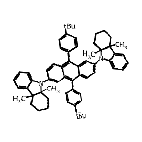 CC(C)(C)c1ccc(-c2c3ccc(N4c5ccccc5C5(C)CCCCC45C)cc3c(-c3ccc(C(C)(C)C)cc3)c3ccc(N4c5ccccc5C5(C)CCCCC45C)cc23)cc1